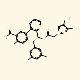 Bc1cn(CC(=O)N[C@@H](Cc2cc(F)cc(F)c2)c2ncccc2-c2ccc(F)c(C(N)=O)c2)nc1N